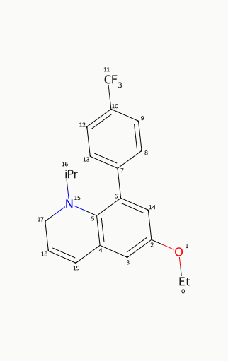 CCOc1cc2c(c(-c3ccc(C(F)(F)F)cc3)c1)N(C(C)C)CC=C2